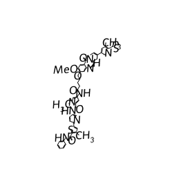 COc1cc2c(cc1OCCCC(=O)Nc1cc(C(=O)Nc3ccc(-c4cc(C)c(C(=O)Nc5ccccc5)s4)nc3)n(C)c1)N=C[C@@H]1CC(c3cnc(-c4cccs4)c(C)c3)=CCN1C2=O